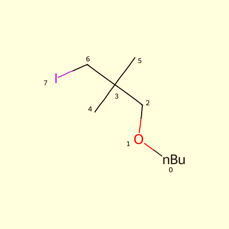 CCCCOCC(C)(C)CI